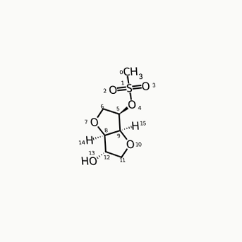 CS(=O)(=O)O[C@@H]1CO[C@H]2[C@@H]1OC[C@@H]2O